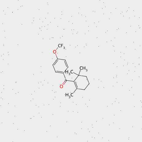 CC1=C(C(=O)c2ccc(OC(F)(F)F)cc2)C(C)(C)CCC1